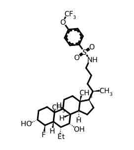 CC[C@H]1[C@@H](O)[C@@H]2[C@H](CC[C@]3(C)[C@@H]([C@H](C)CCCNS(=O)(=O)c4ccc(OC(F)(F)F)cc4)CC[C@@H]23)[C@@]2(C)CC[C@@H](O)[C@H](F)[C@@H]12